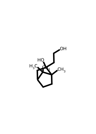 CC1(C)C2CCC1(C)C(O)(CCO)C2